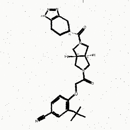 CC(C)(C)c1cc(C#N)ccc1OCC(=O)N1C[C@@H]2CN(C(=O)[C@@H]3CCc4[nH]nnc4C3)C[C@H]2C1